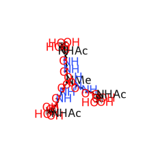 CNC(COCCC(=O)NCCCNC(=O)CCCCO[C@@H]1OC(CO)[C@H](O)C(O)[C@@H]1NC(C)=O)(COCCC(=O)NCCCNC(=O)CCCCO[C@@H]1OC(CO)[C@H](O)C(O)[C@@H]1NC(C)=O)COCCC(=O)NCCCNC(=O)CCCCO[C@@H]1OC(CO)[C@H](O)C(O)[C@@H]1NC(C)=O